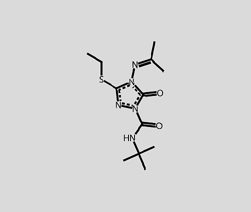 CCSc1nn(C(=O)NC(C)(C)C)c(=O)n1N=C(C)C